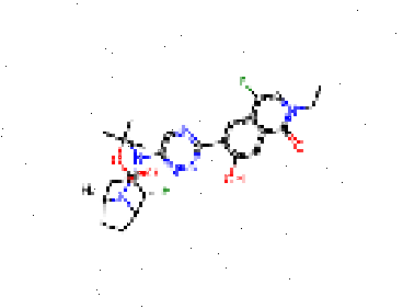 CCn1cc(F)c2cc(-c3ncc(N(C)[C@H]4C[C@@H]5CCC([C@H]4F)N5C(=O)OC(C)(C)C)nn3)c(O)cc2c1=O